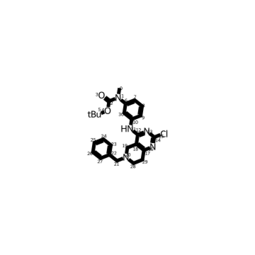 CN(C(=O)OC(C)(C)C)c1cccc(Nc2nc(Cl)nc3c2CN(Cc2ccccc2)CC3)c1